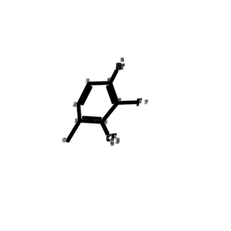 Cc1ccc(Br)c(F)c1C(F)(F)F